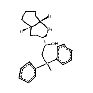 C[Si](CC(O)[C@@H]1C[C@@H]2CCC[C@@H]2N1)(c1ccccc1)c1ccccc1